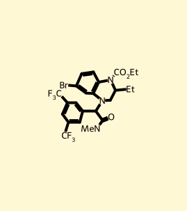 CCOC(=O)N1c2ccc(Br)cc2N(C(C(=O)NC)c2cc(C(F)(F)F)cc(C(F)(F)F)c2)CC1CC